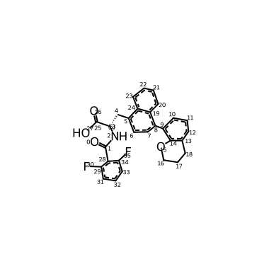 O=C(N[C@@H](Cc1ccc(-c2cccc3c2OCCC3)c2ccccc12)C(=O)O)c1c(F)cccc1F